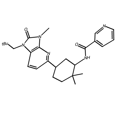 Cn1c(=O)n(CC(C)(C)C)c2ccc(C3CCC(C)(C)C(NC(=O)c4cccnc4)C3)nc21